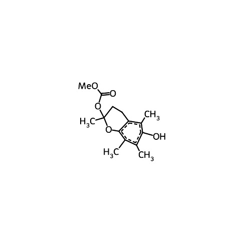 COC(=O)OC1(C)CCc2c(C)c(O)c(C)c(C)c2O1